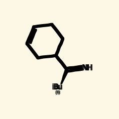 CC[C@H](C)C(=N)C1CC=CCC1